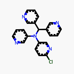 Clc1ccc(N(c2cccnc2)C(c2cccnc2)c2cccnc2)cn1